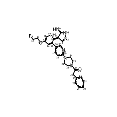 N=C1NN=C/C1=C1/NC=C(OCCF)C=C1c1ccc(N2CCN(C(=O)Cc3ccccn3)CC2)nc1